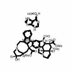 CC[C@]1(O)C[C@H]2C[N@](CCc3c([nH]c4ccccc34)[C@@](C(=O)OC)(c3cc4c(cc3OC)N(C=O)[C@H]3[C@@](O)(C(=O)OC)[C@H](OC(C)=O)[C@]5(CC)C=CCN6CC[C@]43[C@@H]65)C2)C1.O=S(=O)(O)O.S=c1nc[nH]c2nc[nH]c12